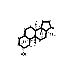 O[C@@H]1CCC2CC[C@H]3[C@@H]4CCC[C@H]4CC[C@@H]3[C@H]2C1